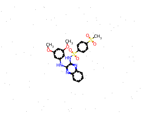 COc1cc(Nc2nc3ccccc3nc2NS(=O)(=O)c2ccc(S(C)(=O)=O)cc2)cc(OC)c1